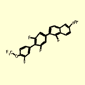 CCCc1ccc2c(F)c(-c3cc(F)c(-c4ccc(OC(F)(F)F)c(F)c4)c(F)c3)ccc2c1